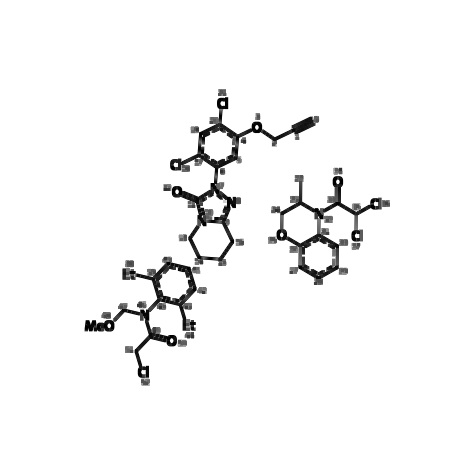 C#CCOc1cc(-n2nc3n(c2=O)CCCC3)c(Cl)cc1Cl.CC1COc2ccccc2N1C(=O)C(Cl)Cl.CCc1cccc(CC)c1N(COC)C(=O)CCl